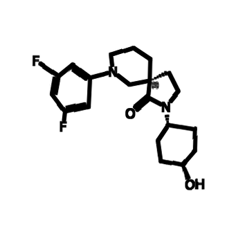 O=C1N([C@H]2CC[C@H](O)CC2)CC[C@]12CCCN(c1cc(F)cc(F)c1)C2